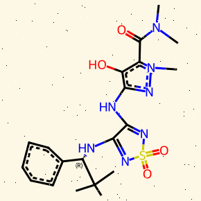 CN(C)C(=O)c1c(O)c(NC2=NS(=O)(=O)N=C2N[C@@H](c2ccccc2)C(C)(C)C)nn1C